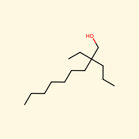 C[CH]CC(CC)(CO)CCCCCCC